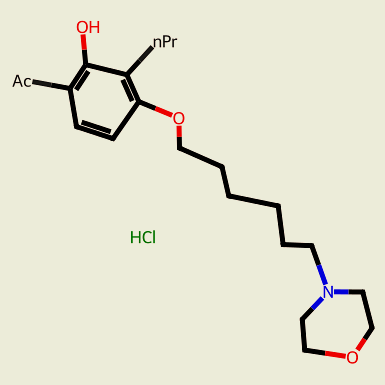 CCCc1c(OCCCCCCN2CCOCC2)ccc(C(C)=O)c1O.Cl